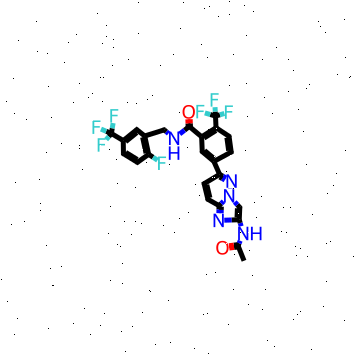 CC(=O)Nc1cn2nc(-c3ccc(C(F)(F)F)c(C(=O)NCc4cc(C(F)(F)F)ccc4F)c3)ccc2n1